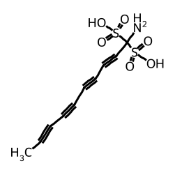 CC#CC#CC#CC#CC(N)(S(=O)(=O)O)S(=O)(=O)O